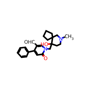 CN1CCC(O)(Cn2cc(C=O)c(-c3ccccc3)cc2=O)C2(CCCC2)C1